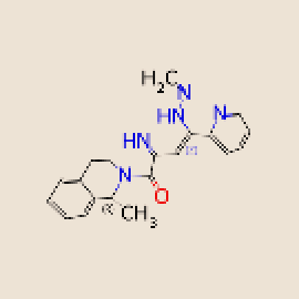 C=NN/C(=C\C(=N)C(=O)N1CCc2ccccc2[C@H]1C)c1ccccn1